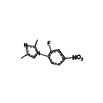 Cc1cn(-c2ccc([N+](=O)[O-])cc2F)c(C)n1